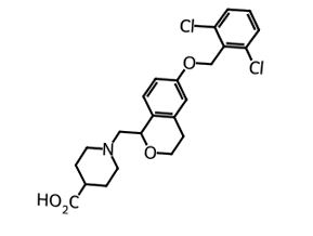 O=C(O)C1CCN(CC2OCCc3cc(OCc4c(Cl)cccc4Cl)ccc32)CC1